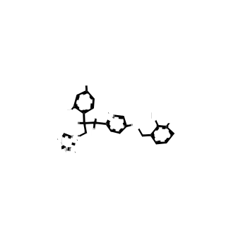 OC(Cn1cnnn1)(c1ccc(F)cc1F)C(F)(F)c1ccc(OCc2cccc(F)c2F)cn1